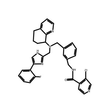 O=C(NCc1cccc(CN(Cc2nc(-c3ccccc3F)c[nH]2)C2CCCc3cccnc32)c1)c1ccncc1Cl